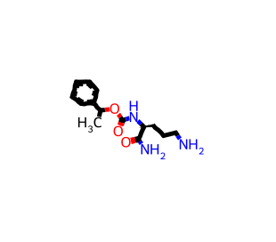 CC(OC(=O)N[C@@H](CCCN)C(N)=O)c1ccccc1